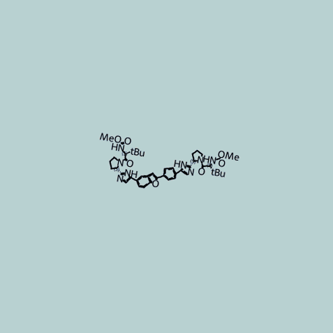 COC(=O)N[C@H](C(=O)N1CCC[C@H]1c1ncc(-c2ccc(-c3cc4cc(-c5cnc([C@@H]6CCCN6C(=O)[C@@H](NC(=O)OC)C(C)(C)C)[nH]5)ccc4o3)cc2)[nH]1)C(C)(C)C